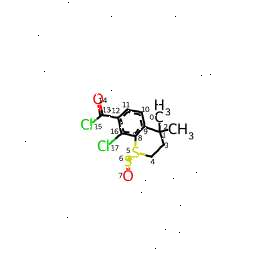 CC1(C)CCS(=S=O)c2c1ccc(C(=O)Cl)c2Cl